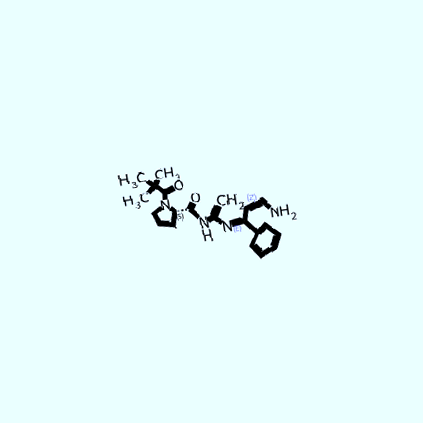 C=C(/N=C(\C=C/N)c1ccccc1)NC(=O)[C@@H]1CCCN1C(=O)C(C)(C)C